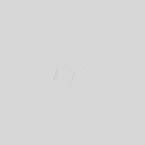 NC(=O)O.Oc1cccc(O)c1